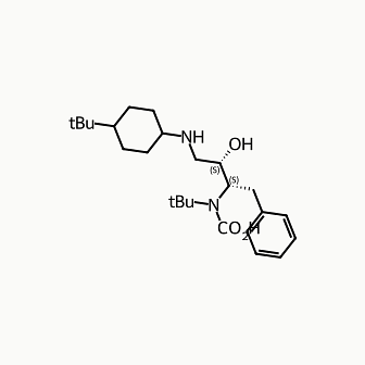 CC(C)(C)C1CCC(NC[C@H](O)[C@H](Cc2ccccc2)N(C(=O)O)C(C)(C)C)CC1